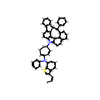 C/C=C\c1csc2c(N(C3=CCCC(n4c5ccc6c7c5c5c8c(cccc8c(-c8ccccc8)c-7c7ccccc76)ccc54)C=C3)c3cc#ccc3)cccc12